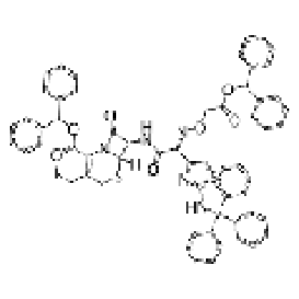 O=C(CON=C(C(=O)N[C@@H]1C(=O)N2C(C(=O)OC(c3ccccc3)c3ccccc3)=C(CI)CS[C@@H]12)c1csc(NC(c2ccccc2)(c2ccccc2)c2ccccc2)n1)OC(c1ccccc1)c1ccccc1